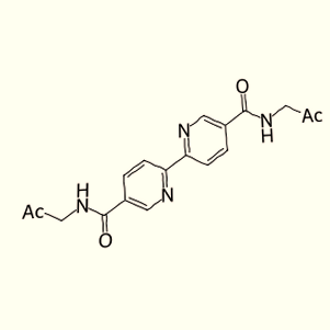 CC(=O)CNC(=O)c1ccc(-c2ccc(C(=O)NCC(C)=O)cn2)nc1